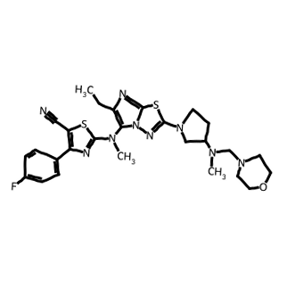 CCc1nc2sc(N3CCC(N(C)CN4CCOCC4)C3)nn2c1N(C)c1nc(-c2ccc(F)cc2)c(C#N)s1